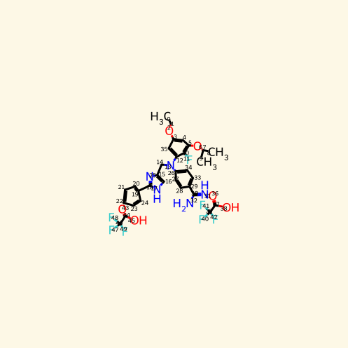 CCOc1cc(OC(C)C)c(F)c(N(Cc2c[nH]c(-c3ccccc3)n2)c2ccc(C(=N)N)cc2)c1.O=C(O)C(F)(F)F.O=C(O)C(F)(F)F